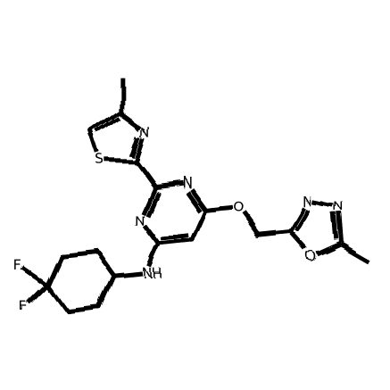 Cc1csc(-c2nc(NC3CCC(F)(F)CC3)cc(OCc3nnc(C)o3)n2)n1